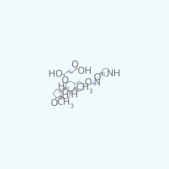 C[C@]12CCC(O/C=N\O[C@@H]3CCNC3)CC1CC[C@@H]1[C@@H]2CC[C@]2(C)C(=O)CC[C@@H]12.O=C(O)/C=C/C(=O)O